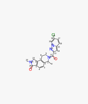 CC1c2ccc3c(c2CCN1C(=O)c1cc2ccc(Cl)cn2n1)CN(C)C3=O